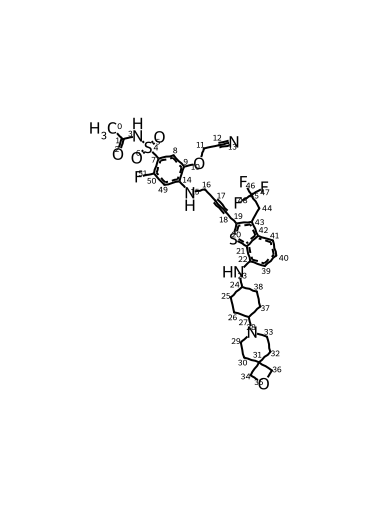 CC(=O)NS(=O)(=O)c1cc(OCC#N)c(NCC#Cc2sc3c(NC4CCC(N5CCC6(CC5)COC6)CC4)cccc3c2CC(F)(F)F)cc1F